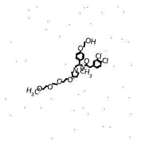 COCCOCCOCCO[C@H]1CCN(CC(c2ccc(OCCO)cc2)N(C)C(=O)Cc2ccc(Cl)c(Cl)c2)C1